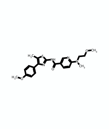 COCCN(C)c1ccc(C(=O)Nc2nc(-c3ccc(OC)cc3)c(C)s2)cn1